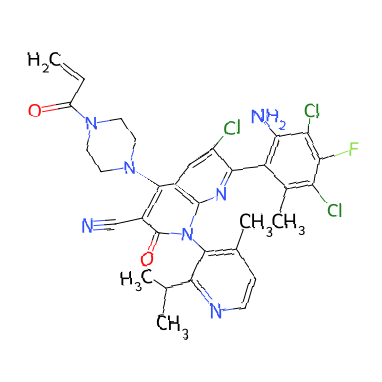 C=CC(=O)N1CCN(c2c(C#N)c(=O)n(-c3c(C)ccnc3C(C)C)c3nc(-c4c(C)c(Cl)c(F)c(Cl)c4N)c(Cl)cc23)CC1